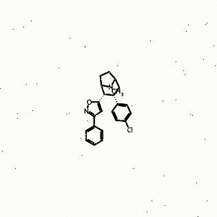 CN1C2CCC1[C@@H](c1cc(-c3ccccc3)no1)[C@@H](c1ccc(Cl)cc1)C2